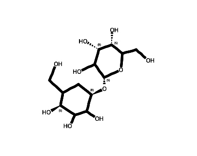 OCC1C[C@@H](O[C@H]2OC(CO)[C@@H](O)[C@@H](O)C2O)C(O)C(O)[C@H]1O